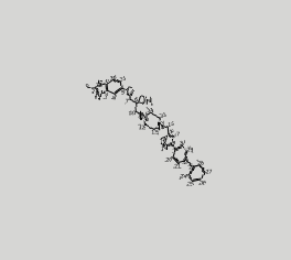 Cc1nc2cc(OCC(O)CN3CCN(Cc4cc(-c5ccc(-c6ccccc6)cc5)no4)CC3)ccc2s1